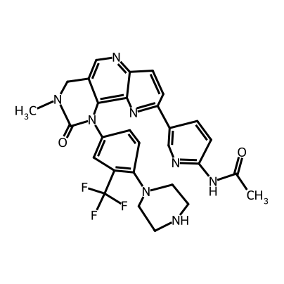 CC(=O)Nc1ccc(-c2ccc3ncc4c(c3n2)N(c2ccc(N3CCNCC3)c(C(F)(F)F)c2)C(=O)N(C)C4)cn1